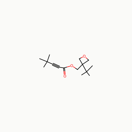 CC(C)(C)C#CC(=O)OCC1(C(C)(C)C)COC1